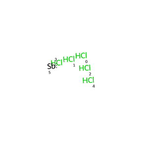 Cl.Cl.Cl.Cl.Cl.[Sb]